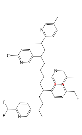 Cc1ccc(C(C)CC(CCC(CC(CCC(C)c2ccc(C(F)F)nc2)c2ccc(CF)nc2)c2cnc(C)cn2)c2ccc(Cl)nc2)nc1